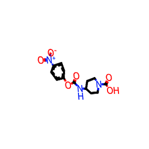 O=C(NC1CCN(C(=O)O)CC1)Oc1ccc([N+](=O)[O-])cc1